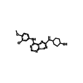 COc1ccc(Nc2ncnc3cnc(NC4CCC(O)CC4)nc23)cc1Cl